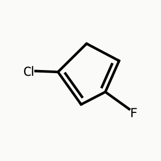 FC1=CCC(Cl)=C1